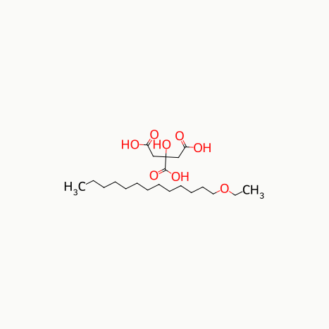 CCCCCCCCCCCCCOCC.O=C(O)CC(O)(CC(=O)O)C(=O)O